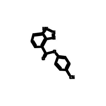 N#Cc1ccc(OC(=O)c2cccc3[nH]nnc23)cc1